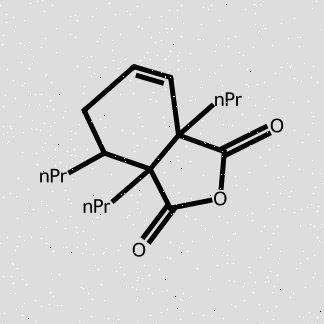 CCCC1CC=CC2(CCC)C(=O)OC(=O)C12CCC